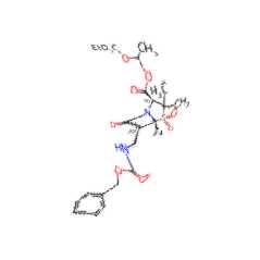 CCOC(=O)OC(C)OC(=O)[C@@H]1N2C(=O)[C@H](CNC(=O)OCc3ccccc3)[C@H]2S(=O)(=O)C1(C)C